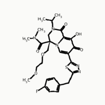 COCCOC[C@@]1(C(=O)N(C)C)CN(C(C)C)C(=O)c2c(O)c(=O)c(-c3nnc(Cc4ccc(F)cc4)s3)cn21